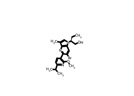 CC[C@@H](CO)n1cc(C)c2nc(-c3ccc(C(C)C)nc3OC)c(Br)cc21